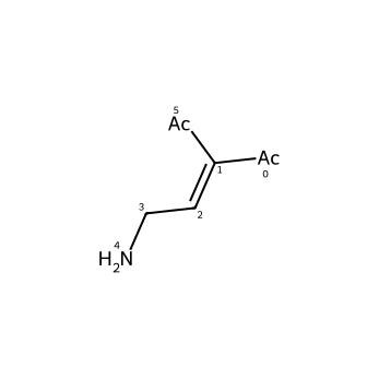 CC(=O)C(=CCN)C(C)=O